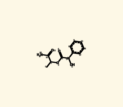 CC(OC(=O)N(O)c1ccccc1)C(N)=O